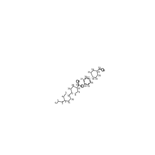 CCC[C@H]1CC[C@H]([C@H]2CC[C@H](C(=O)Oc3ccc([C@H]4CC[C@H](C=O)CC4)cc3)CC2)CC1